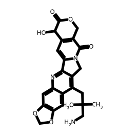 CC(C)(CN)Cc1c2c(nc3cc4c(cc13)OCO4)-c1cc3c(c(=O)n1C2)COC(=O)C3O